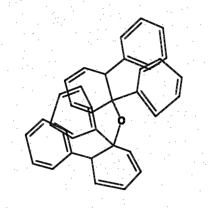 C1=CC(c2ccccc2)C(OC2(c3ccccc3)C=CC=CC2c2ccccc2)(c2ccccc2)C=C1